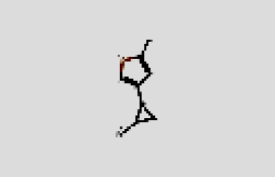 CCC1CC1c1csc(C)c1